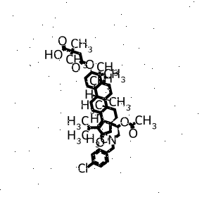 CC(=O)O[C@@H](CN(C)Cc1ccc(Cl)cc1)[C@@]12CC[C@]3(C)[C@H](CC[C@@H]4[C@@]5(C)CC[C@H](OC(=O)CC(C)(C)C(=O)O)C(C)(C)[C@@H]5CC[C@]43C)C1=C(C(C)C)C(=O)C2